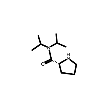 CC(C)N(C(=O)[C@H]1CCCN1)C(C)C